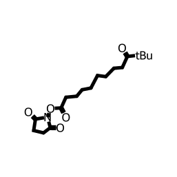 CC(C)(C)C(=O)CCCCCCCCC(=O)ON1C(=O)CCC1=O